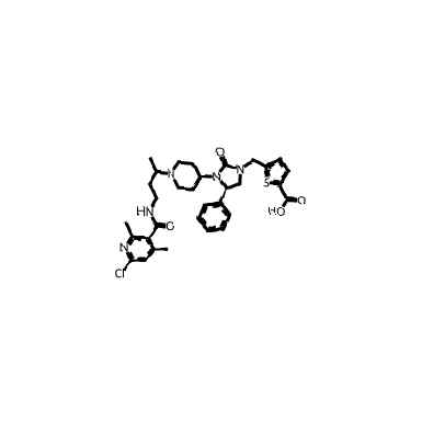 Cc1cc(Cl)nc(C)c1C(=O)NCCC(C)N1CCC(N2C(=O)N(Cc3ccc(C(=O)O)s3)C[C@H]2c2ccccc2)CC1